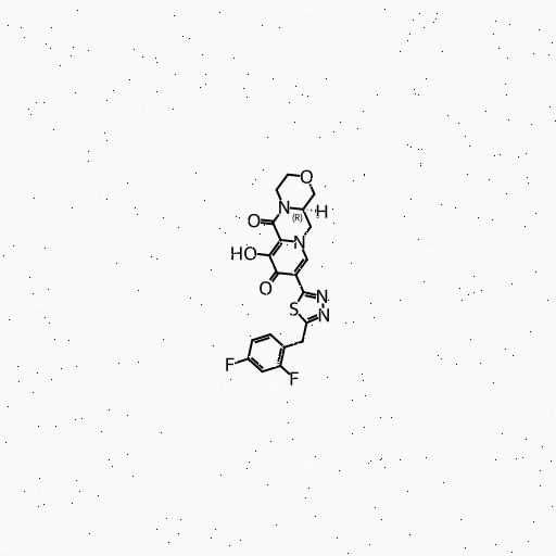 O=C1c2c(O)c(=O)c(-c3nnc(Cc4ccc(F)cc4F)s3)cn2C[C@@H]2COCCN12